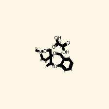 CC1Oc2ccccc2COC12CCN(C)CC2.O=C(O)C(=O)O